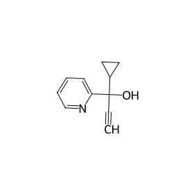 C#CC(O)(c1ccccn1)C1CC1